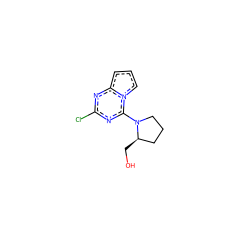 OC[C@@H]1CCCN1c1nc(Cl)nc2cccn12